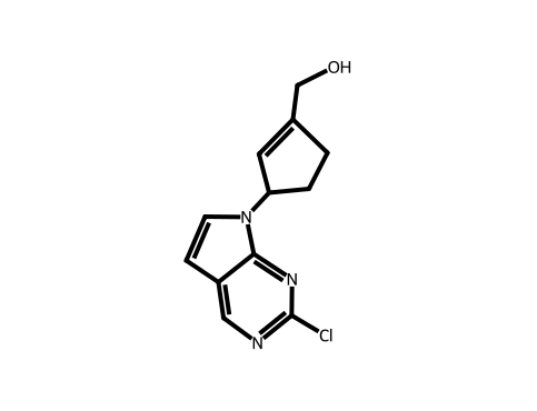 OCC1=CC(n2ccc3cnc(Cl)nc32)CC1